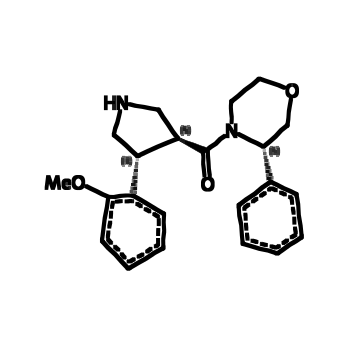 COc1ccccc1[C@@H]1CNC[C@H]1C(=O)N1CCOC[C@@H]1c1ccccc1